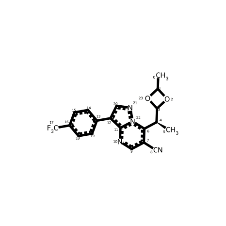 CC1OC([C@@H](C)c2c(C#N)cnc3c(-c4ccc(C(F)(F)F)cc4)cnn23)O1